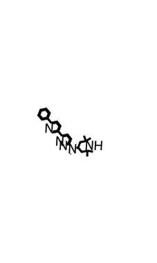 CN(c1ccc(-c2ccc(-c3ccccc3)nc2)nn1)C1CC(C)(C)NC(C)(C)C1